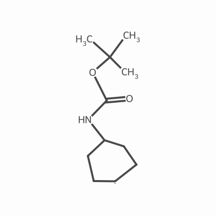 CC(C)(C)OC(=O)NC1CC[CH]CC1